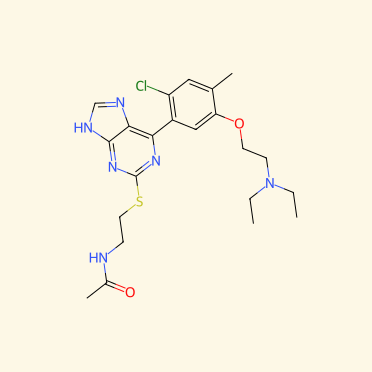 CCN(CC)CCOc1cc(-c2nc(SCCNC(C)=O)nc3[nH]cnc23)c(Cl)cc1C